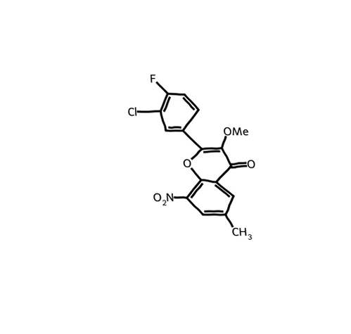 COc1c(-c2ccc(F)c(Cl)c2)oc2c([N+](=O)[O-])cc(C)cc2c1=O